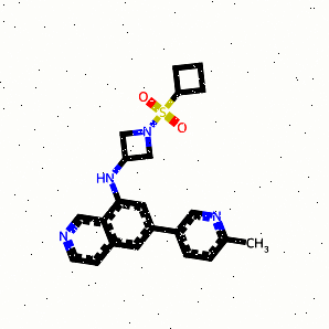 Cc1ccc(-c2cc(NC3CN(S(=O)(=O)C4CCC4)C3)c3cnccc3c2)cn1